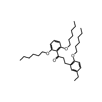 CCCCCCOc1ccc(CC)cc1CCC(=O)c1c(OCCCCCC)cccc1OCCCCCC